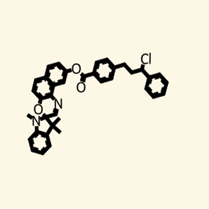 CN1c2ccccc2C(C)(C)C12C=Nc1c(ccc3ccc(OC(=O)c4ccc(CCC(Cl)c5ccccc5)cc4)cc13)O2